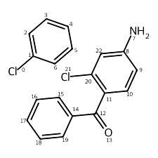 Clc1ccccc1.Nc1ccc(C(=O)c2ccccc2)c(Cl)c1